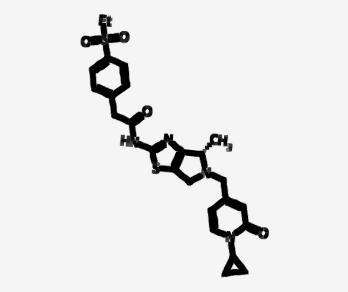 CCS(=O)(=O)c1ccc(CC(=O)Nc2nc3c(s2)CN(Cc2ccn(C4CC4)c(=O)c2)[C@H]3C)cc1